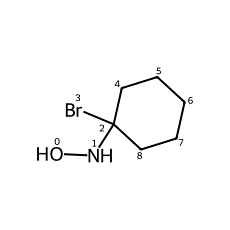 ONC1(Br)CCCCC1